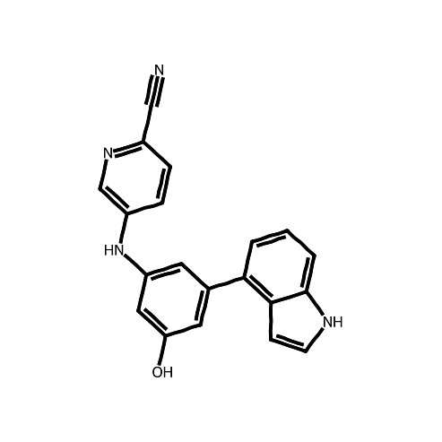 N#Cc1ccc(Nc2cc(O)cc(-c3cccc4[nH]ccc34)c2)cn1